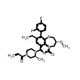 C=CC(=O)N1CCN(c2nc(=O)n3c4c(c(-c5ccc(F)cc5F)c(CC)cc24)SC[C@H](OC)C3)[C@@H](C)C1